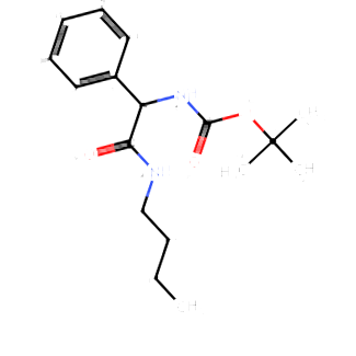 CCCCNC(=O)C(NC(=O)OC(C)(C)C)c1ccccc1